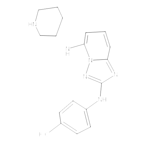 FC(F)(F)c1ccc(Nc2nc3cccc(N[C@H]4CCCNC4)n3n2)cc1